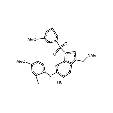 CNCc1cn(S(=O)(=O)c2cccc(OC)c2)c2cc(Nc3ccc(OC)cc3F)ccc12.Cl